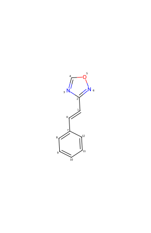 C(=C\c1ncon1)/c1ccccc1